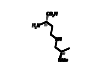 CO[C@H](C)CNCC[C@H](N)C(=O)O